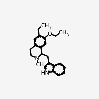 CCOc1cc2c(cc1CC)CCN(C)C2Cc1c[nH]c2ccccc12